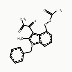 CC(=O)OOc1cccc2c1c(C(=O)C(N)=O)c(C)n2Cc1ccccc1